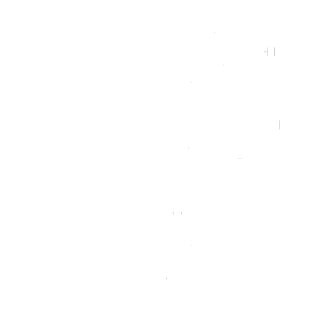 CC(=O)Oc1c(I)cc(I)cc1C(=O)OC(C(F)(F)F)C(F)(F)S(=O)(=O)O